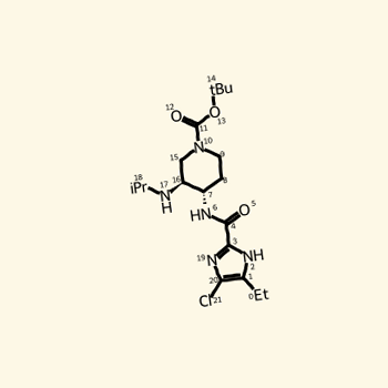 CCc1[nH]c(C(=O)N[C@H]2CCN(C(=O)OC(C)(C)C)C[C@@H]2NC(C)C)nc1Cl